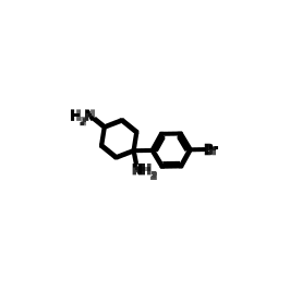 NC1CCC(N)(c2ccc(Br)cc2)CC1